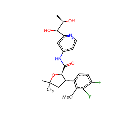 COc1c([C@@H]2C[C@](C)(C(F)(F)F)O[C@H]2C(=O)Nc2ccnc([C@@H](O)[C@@H](C)O)c2)ccc(F)c1F